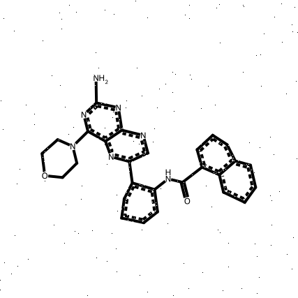 Nc1nc(N2CCOCC2)c2nc(-c3ccccc3NC(=O)c3cccc4ccccc34)cnc2n1